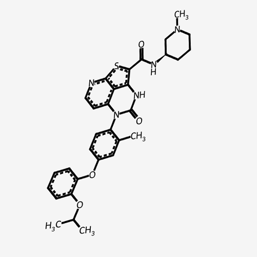 Cc1cc(Oc2ccccc2OC(C)C)ccc1N1C(=O)Nc2c(C(=O)N[C@@H]3CCCN(C)C3)sc3nccc1c23